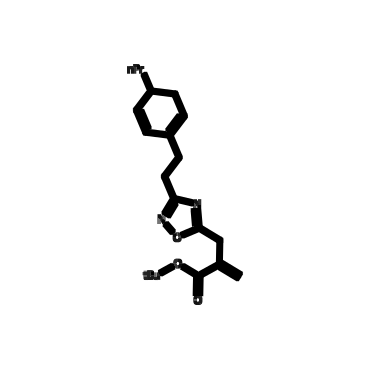 C=C(Cc1nc(CCC2=CCC(CCC)C=C2)no1)C(=O)OC(C)(C)C